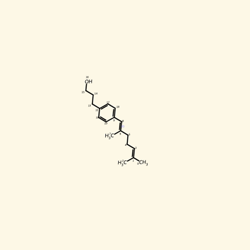 CC(C)=CCC/C(C)=C/c1ccc(CCCO)cc1